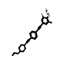 CCCC1CCC(C#Cc2ccc(C#Cc3cc(F)c(N=C=S)c(F)c3)cc2)CC1